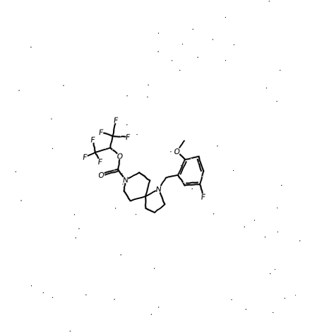 COc1ccc(F)cc1CN1CCCC12CCN(C(=O)OC(C(F)(F)F)C(F)(F)F)CC2